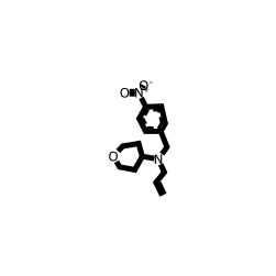 C=CCN(Cc1ccc([N+](=O)[O-])cc1)C1CCOCC1